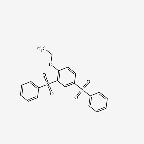 CCOc1ccc(S(=O)(=O)c2ccccc2)cc1S(=O)(=O)c1ccccc1